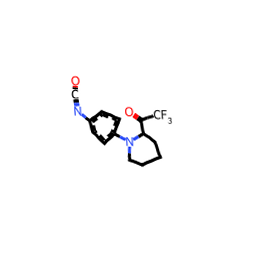 O=C=Nc1ccc(N2CCCCC2C(=O)C(F)(F)F)cc1